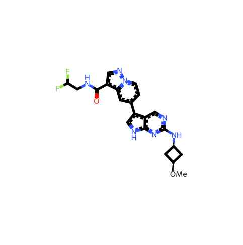 CO[C@H]1C[C@@H](Nc2ncc3c(-c4ccn5ncc(C(=O)NCC(F)F)c5c4)c[nH]c3n2)C1